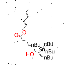 CC=CC=CCOC(=O)CCCCC(O)[C](=CCCCC)[Sn]([CH2]CCC)([CH2]CCC)[CH2]CCC